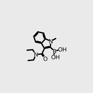 CCN(CC)C(=O)c1c(B(O)O)n(C)c2ccccc12